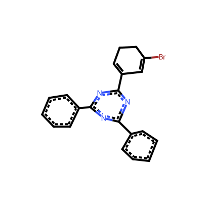 BrC1=CC(c2nc(-c3ccccc3)nc(-c3ccccc3)n2)=CCC1